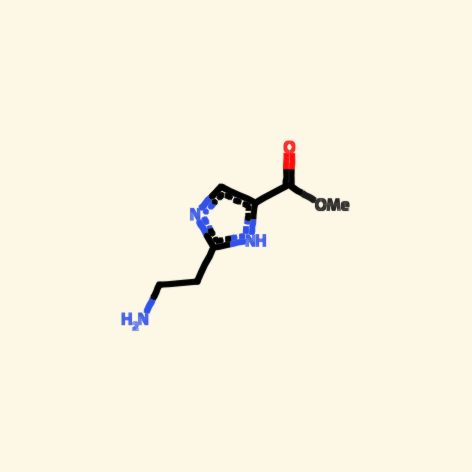 COC(=O)c1cnc(CCN)[nH]1